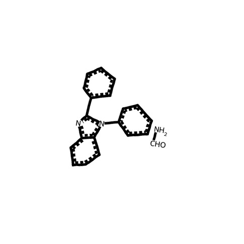 NC=O.c1ccc(-c2nc3ccccc3n2-c2ccccc2)cc1